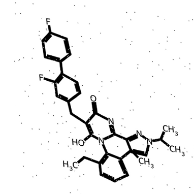 CCc1cccc(CC)c1-n1c(-c2ccn(C(C)C)n2)nc(=O)c(Cc2ccc(-c3ccc(F)cc3)c(F)c2)c1O